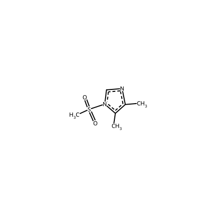 Cc1ncn(S(C)(=O)=O)c1C